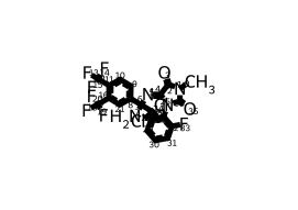 CN1C(=O)C(=NC(N)(c2ccc(C(F)(F)F)c(C(F)(F)F)c2)C(Cl)(Cl)Cl)N(c2ccccc2F)C1=O